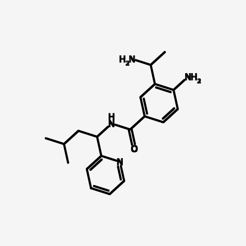 CC(C)CC(NC(=O)c1ccc(N)c(C(C)N)c1)c1ccccn1